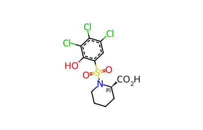 O=C(O)[C@H]1CCCCN1S(=O)(=O)c1cc(Cl)c(Cl)c(Cl)c1O